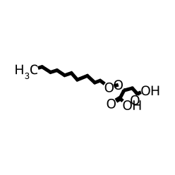 CCCCCCCCCCOOC(CC(=O)O)C(=O)O